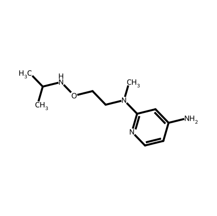 CC(C)NOCCN(C)c1cc(N)ccn1